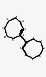 C1=C(C2CCCCCCC2)CCCCCC1